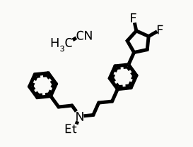 CC#N.CCN(CCCc1ccc(C2CC(F)C(F)C2)cc1)CCc1ccccc1